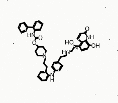 O=C(Nc1ccccc1-c1ccccc1)OC1CCN(CCCc2ccccc2Nc2ccc(CCNC[C@@H](O)c3ccc(O)c4[nH]c(=O)ccc34)cc2)CC1